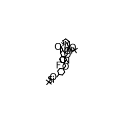 COc1nc(OC2CCC(CO[Si](C)(C)C(C)(C)C)CC2)c(F)cc1CNC(=O)[C@@H]1CCCN1C(=O)OC(C)(C)C